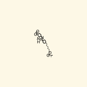 C=C(C)C(=O)OCCCCCCc1ccc(N=Nc2ccc(S(C)(=O)=O)cc2NC)cc1